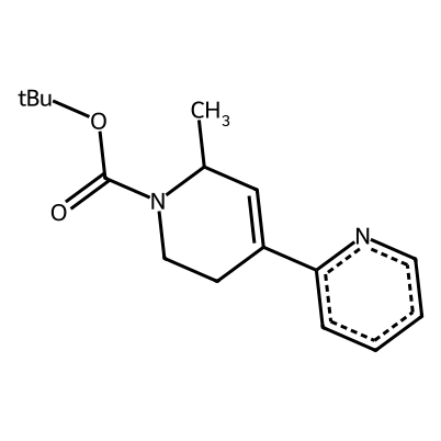 CC1C=C(c2ccccn2)CCN1C(=O)OC(C)(C)C